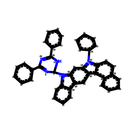 c1ccc(C2=NC(n3c4ccccc4c4cc5c6c7ccccc7ccc6n(-c6ccccc6)c5cc43)NC(c3ccccc3)=N2)cc1